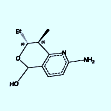 CC[C@H]1OC(O)c2ccc(N)nc2[C@@H]1C